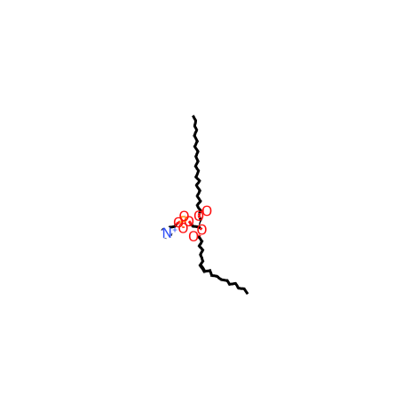 CCCCCCCCCC/C=C\CCCCCC(=O)O[C@H](COC(=O)CCCCCCCCCCCCCCCCCCC)COP(=O)([O-])OCC[N+](C)(C)C